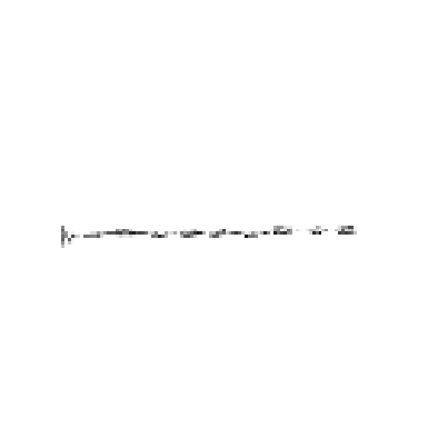 C#CC#CC#CC#CC#CC#CC#CC#CC#CN(C)C